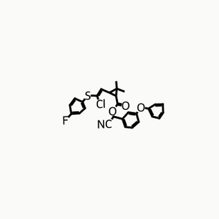 CC1(C)C(/C=C(\Cl)Sc2ccc(F)cc2)C1C(=O)OC(C#N)c1cccc(Oc2ccccc2)c1